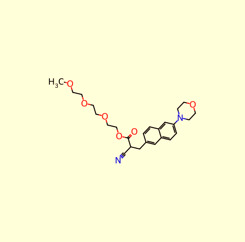 COCCOCCOCCOC(=O)C(C#N)Cc1ccc2cc(N3CCOCC3)ccc2c1